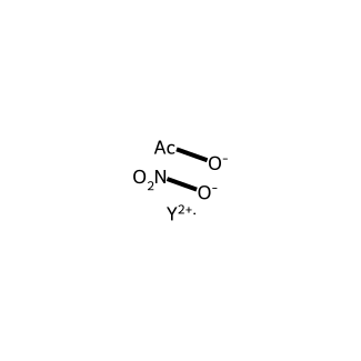 CC(=O)[O-].O=[N+]([O-])[O-].[Y+2]